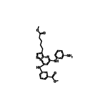 COC(=O)CCCCc1cnn2c(Nc3cccc(C(=O)OC)c3)cc(Nc3cccc(N)c3)nc12